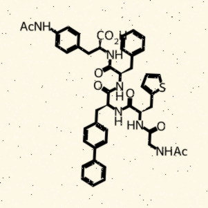 CC(=O)NCC(=O)N[C@H](Cc1cccs1)C(=O)N[C@@H](Cc1ccc(-c2ccccc2)cc1)C(=O)N[C@H](Cc1ccccc1)C(=O)N[C@@H](Cc1ccc(NC(C)=O)cc1)C(=O)O